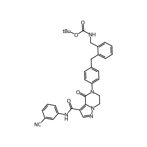 CC(C)(C)OC(=O)NCc1ccccc1Cc1ccc(N2CCn3ncc(C(=O)Nc4cccc(C#N)c4)c3C2=O)cc1